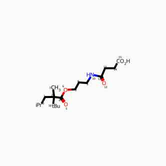 CC(C)CC(C)(C(=O)OCCCNC(=O)CCC(=O)O)C(C)(C)C